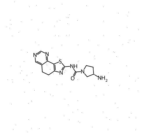 NC1CCN(C(=O)Nc2nc3c(s2)-c2ncncc2CC3)C1